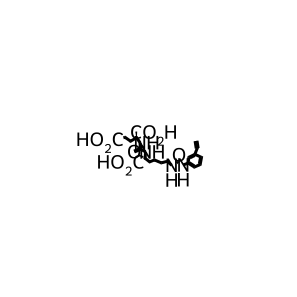 C#Cc1cccc(NC(=O)NCCCC[C@H](NC(=O)N[C@@H](CCC(=O)O)C(=O)O)C(=O)O)c1